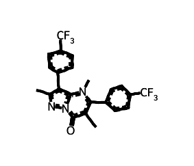 Cc1nn2c(=O)c(C)c(-c3ccc(C(F)(F)F)cc3)n(C)c2c1-c1ccc(C(F)(F)F)cc1